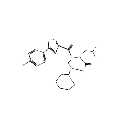 CC(C)C[C@H]1C(=O)N[C@@H](C2CCCCC2)CN1C(=O)c1cc(-c2ccc(Cl)cc2)on1